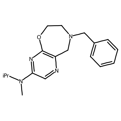 CC(C)N(C)c1cnc2c(n1)OCCN(Cc1ccccc1)C2